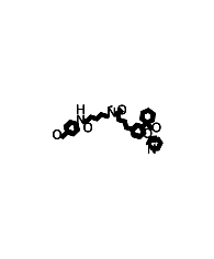 CN(CCCCC(=O)Nc1ccc(C=O)cc1)C(=O)CCCc1cccc(C2(C(=O)OC3CN4CCC3CC4)CCCCC2)c1